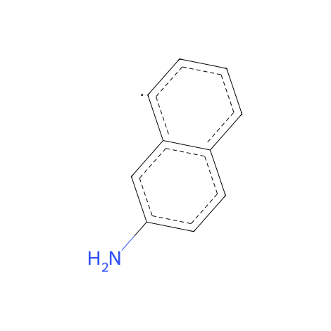 Nc1ccc2ccc[c]c2c1